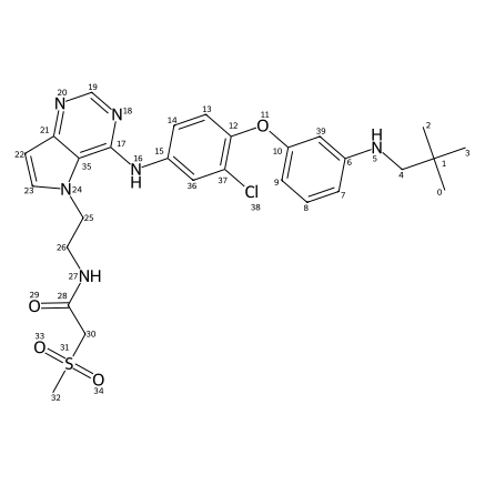 CC(C)(C)CNc1cccc(Oc2ccc(Nc3ncnc4ccn(CCNC(=O)CS(C)(=O)=O)c34)cc2Cl)c1